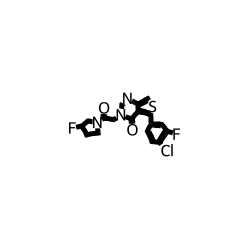 O=C(Cn1cnc2csc(-c3ccc(Cl)c(F)c3)c2c1=O)N1CCC(F)C1